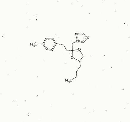 CCCCC1COC(CCc2ccc(C)cc2)(Cn2ccnc2)O1